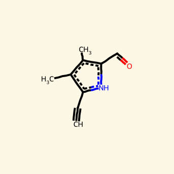 C#Cc1[nH]c(C=O)c(C)c1C